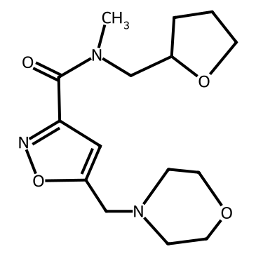 CN(CC1CCCO1)C(=O)c1cc(CN2CCOCC2)on1